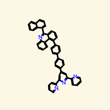 c1ccc(-c2cc(-c3ccc(-c4ccc(-c5cccc6c(-c7cccc8ccccc78)nc7ccccc7c56)cc4)cc3)cc(-c3ccccn3)n2)nc1